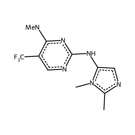 CNc1nc(Nc2cnc(C)n2C)ncc1C(F)(F)F